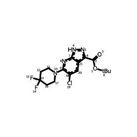 CC(C)(C)OC(=O)c1n[nH]c2nc(N3CCC(F)(F)CC3)c(Cl)cc12